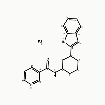 Cl.O=C(NC1CCCC(c2nc3ccccc3[nH]2)C1)c1cccnc1